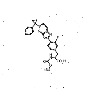 CC(C)(C)OC(=O)NC(Cc1ccc(-c2nc3ccc(C4(c5ccccc5)CC4)nc3s2)c(F)c1)C(=O)O